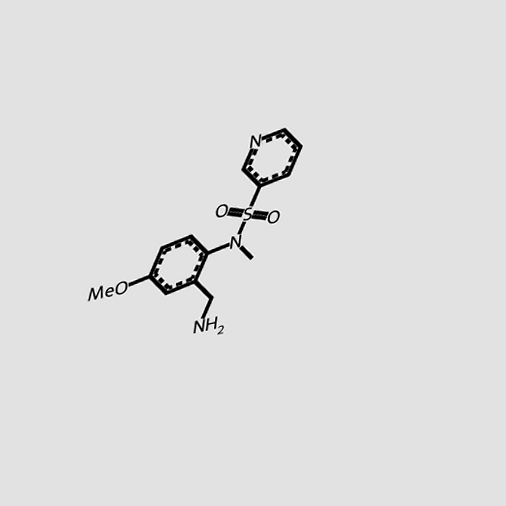 COc1ccc(N(C)S(=O)(=O)c2cccnc2)c(CN)c1